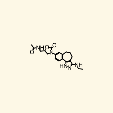 CCNc1n[nH]c2c1CCCc1cc(N3CC(CNC(C)=O)OC3=O)ccc1-2